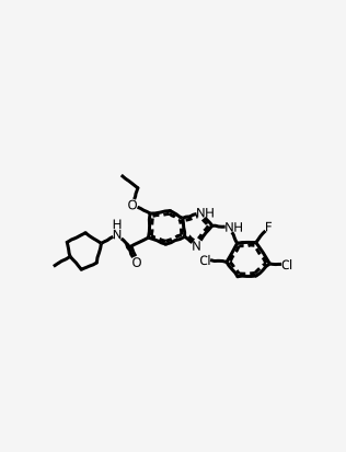 CCOc1cc2[nH]c(Nc3c(Cl)ccc(Cl)c3F)nc2cc1C(=O)NC1CCC(C)CC1